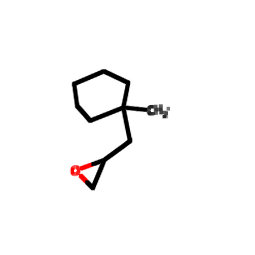 [CH2]C1(CC2CO2)CCCCC1